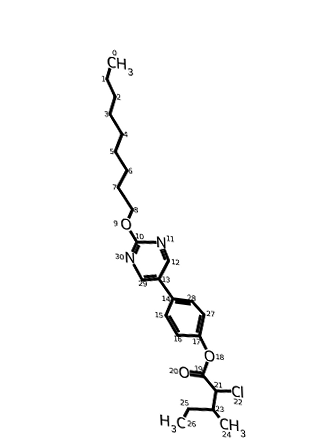 CCCCCCCCCOc1ncc(-c2ccc(OC(=O)C(Cl)C(C)CC)cc2)cn1